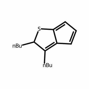 CCCC[C]1SC2=CC=CC2=C1CCCC